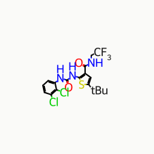 CC(C)(C)c1cc(C(=O)NCC(F)(F)F)c(NC(=O)Nc2cccc(Cl)c2Cl)s1